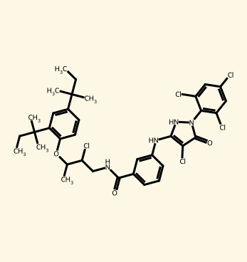 CCC(C)(C)c1ccc(OC(C)C(Cl)CNC(=O)c2cccc(Nc3[nH]n(-c4c(Cl)cc(Cl)cc4Cl)c(=O)c3Cl)c2)c(C(C)(C)CC)c1